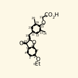 CCOc1ccc2c(c1)OC(=Cc1cc(C)c(OCC(=O)O)c(C)c1)C2=O